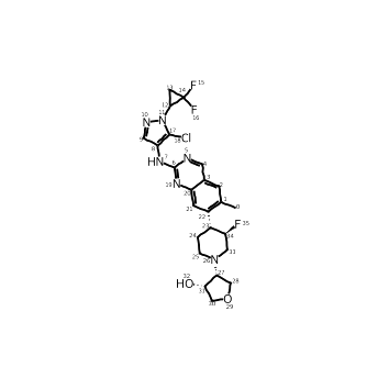 Cc1cc2cnc(Nc3cnn(C4CC4(F)F)c3Cl)nc2cc1[C@H]1CCN([C@@H]2COC[C@@H]2O)C[C@@H]1F